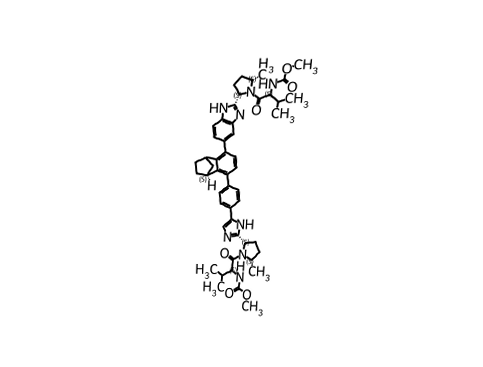 COC(=O)N[C@H](C(=O)N1[C@@H](C)CC[C@H]1c1ncc(-c2ccc(-c3ccc(-c4ccc5[nH]c([C@@H]6CC[C@H](C)N6C(=O)[C@@H](NC(=O)OC)C(C)C)nc5c4)c4c3[C@H]3CCC4C3)cc2)[nH]1)C(C)C